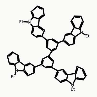 CCn1c2ccccc2c2cc(-c3cc(-c4cc(-c5ccc6c(c5)c5ccccc5n6CC)cc(-c5ccc6c(c5)c5ccccc5n6CC)c4)cc(-c4ccc5c(c4)c4ccccc4n5CC)c3)ccc21